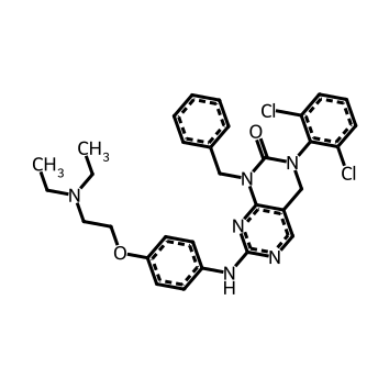 CCN(CC)CCOc1ccc(Nc2ncc3c(n2)N(Cc2ccccc2)C(=O)N(c2c(Cl)cccc2Cl)C3)cc1